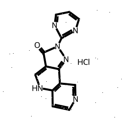 Cl.O=c1c2c[nH]c3ccncc3c-2nn1-c1ncccn1